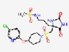 CS(=O)(=O)NCCCC1(CS(=O)(=O)N2CCC(Oc3ccc(Cl)cn3)CC2)NC(=O)NC1=O